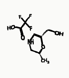 C[C@@H]1CNC[C@H](CO)O1.O=C(O)C(F)(F)F